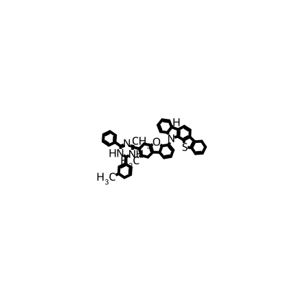 CC1C=C(C2NC(c3ccccc3)=NC(C)(C3CC4=C(CC3C)C3C=CC=C(N5c6c(ccc7c8c(sc67)C=CCC8)[C@H]6C=CC=CC65)C3O4)N2)C=CC1